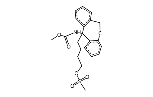 COC(=O)NC1(CCCCOS(C)(=O)=O)c2ccccc2CCc2ccccc21